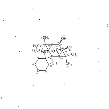 COC1([C@@]2(O)[C@]3(O)C(C)(C)[C@@]3(O)[C@@H](O)[C@]3(O)C(C)(C)[C@]23O)CCOCC1